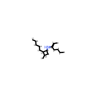 C/C=C(\CCCC)NC1CC(C)C1CCCCC